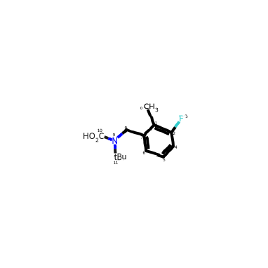 Cc1c(F)cccc1CN(C(=O)O)C(C)(C)C